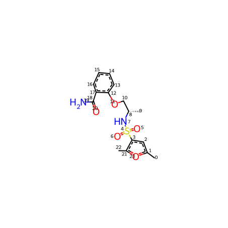 Cc1cc(S(=O)(=O)N[C@@H](C)COc2ccccc2C(N)=O)c(C)o1